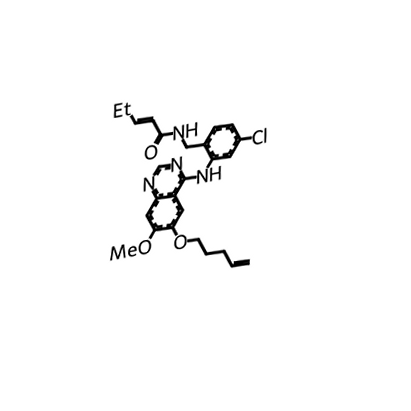 [CH2]CC=CC(=O)NCc1ccc(Cl)cc1Nc1ncnc2cc(OC)c(OCCCC=C)cc12